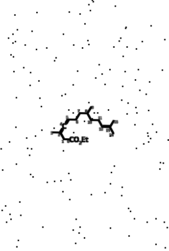 CCOC(=O)CC(C)=C=CCCC(C)CCC=C(C)C